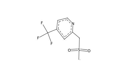 [CH2]S(=O)(=O)Cc1cc(C(F)(F)F)ccn1